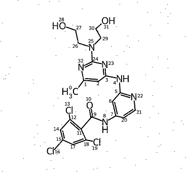 Cc1cc(Nc2cc(NC(=O)c3c(Cl)cc(Cl)cc3Cl)ccn2)nc(N(CCO)CCO)n1